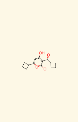 O=C(c1c(O)cc(C2CCC2)oc1=O)C1CCC1